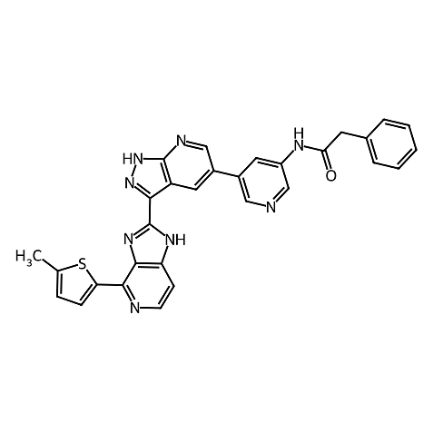 Cc1ccc(-c2nccc3[nH]c(-c4n[nH]c5ncc(-c6cncc(NC(=O)Cc7ccccc7)c6)cc45)nc23)s1